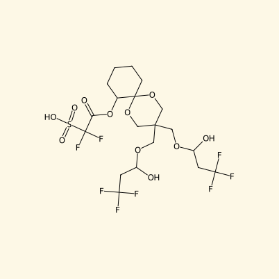 O=C(OC1CCCCC12OCC(COC(O)CC(F)(F)F)(COC(O)CC(F)(F)F)CO2)C(F)(F)S(=O)(=O)O